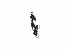 O=S(=O)(NC1CCN(CCCc2noc3cc(F)ccc23)C1)c1cc2ccc(Cl)cc2s1